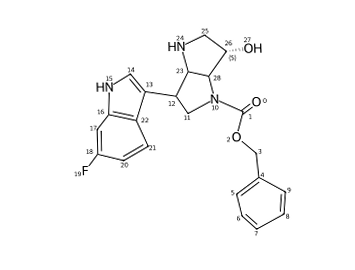 O=C(OCc1ccccc1)N1CC(c2c[nH]c3cc(F)ccc23)C2NC[C@H](O)C21